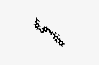 Cc1ncc(C(=O)NCC=Cc2ccc3nc(Nc4ccc(CN(C)C)cc4)ncc3c2)c(=O)n1Cc1ccc(F)c(F)c1